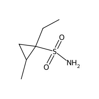 CCC1(S(N)(=O)=O)CC1C